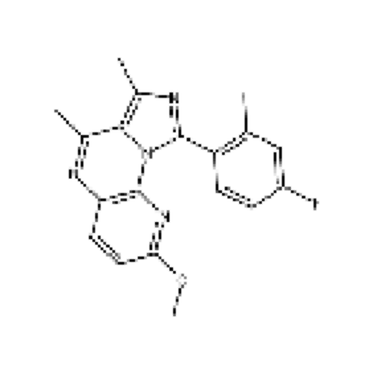 COc1ccc2nc(C)c3c(C)nc(-c4ccc(F)cc4C)n3c2n1